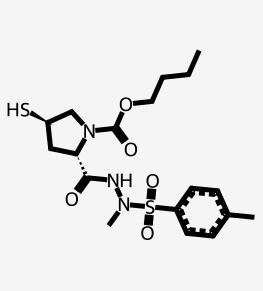 CCCCOC(=O)N1C[C@H](S)C[C@H]1C(=O)NN(C)S(=O)(=O)c1ccc(C)cc1